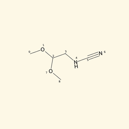 COC(CNC#N)OC